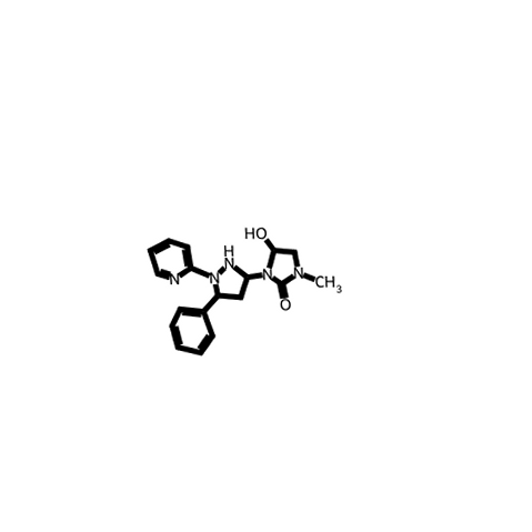 CN1CC(O)N(C2CC(c3ccccc3)N(c3ccccn3)N2)C1=O